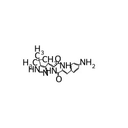 CC(C)(C)c1[nH]cnc1/C=c1\[nH]c(=O)/c(=C/c2ccc(N)cc2)[nH]c1=O